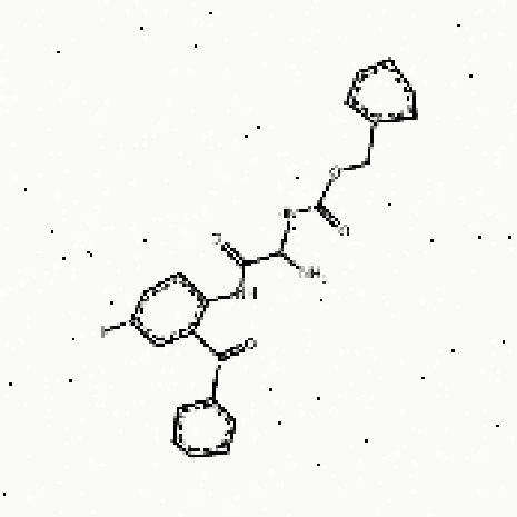 NC(NC(=O)OCc1ccccc1)C(=O)Nc1ccc(I)cc1C(=O)c1ccccc1